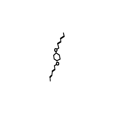 CC=CC=CCO[C@H]1CC[C@H](OCC=CC=CC)CC1